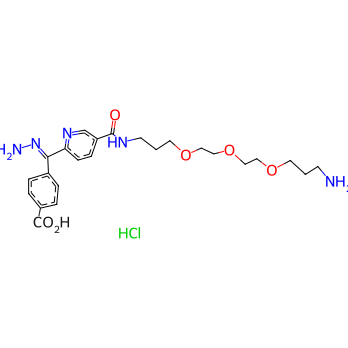 Cl.NCCCOCCOCCOCCCNC(=O)c1ccc(/C(=N/N)c2ccc(C(=O)O)cc2)nc1